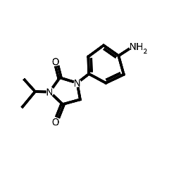 CC(C)N1C(=O)CN(c2ccc(N)cc2)C1=O